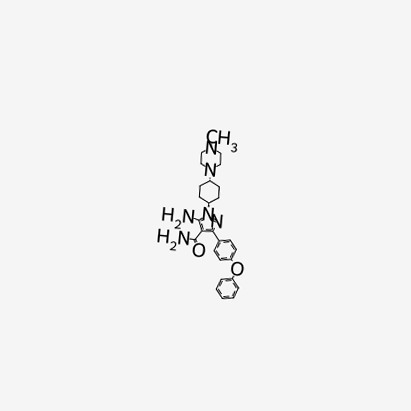 CN1CCN([C@H]2CC[C@H](n3nc(-c4ccc(Oc5ccccc5)cc4)c(C(N)=O)c3N)CC2)CC1